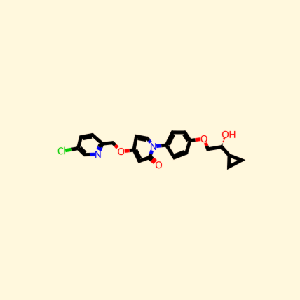 O=c1cc(OCc2ccc(Cl)cn2)ccn1-c1ccc(OC[C@H](O)C2CC2)cc1